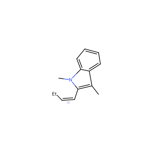 CC/C=C\c1c(C)c2ccccc2n1C